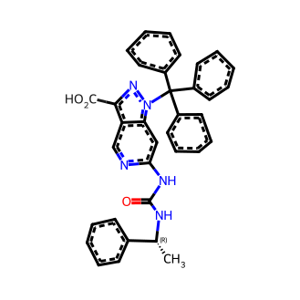 C[C@@H](NC(=O)Nc1cc2c(cn1)c(C(=O)O)nn2C(c1ccccc1)(c1ccccc1)c1ccccc1)c1ccccc1